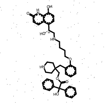 O=C(OCC1(Cc2ccccc2OCCCCNC[C@H](O)c2ccc(O)c3[nH]c(=O)ccc23)CCNCC1)C(O)(c1ccccc1)c1ccccc1